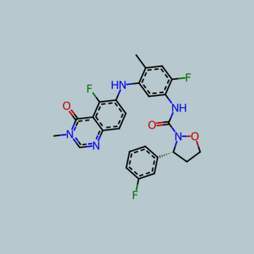 Cc1cc(F)c(NC(=O)N2OCC[C@@H]2c2cccc(F)c2)cc1Nc1ccc2ncn(C)c(=O)c2c1F